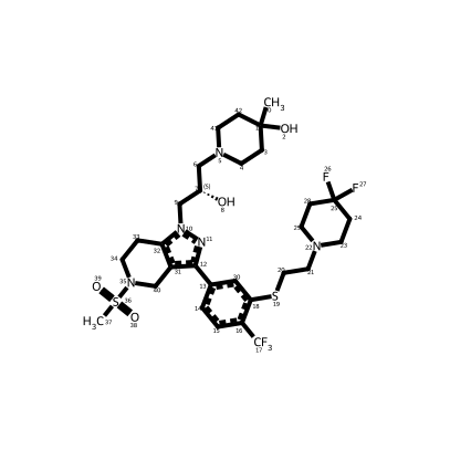 CC1(O)CCN(C[C@H](O)Cn2nc(-c3ccc(C(F)(F)F)c(SCCN4CCC(F)(F)CC4)c3)c3c2CCN(S(C)(=O)=O)C3)CC1